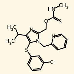 CNC(=S)OCc1nc(C(C)C)c(Sc2cccc(Cl)c2)n1Cc1ccccn1